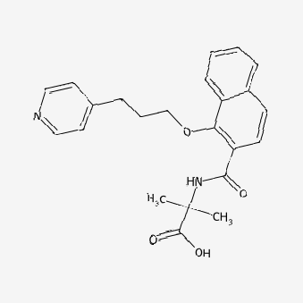 CC(C)(NC(=O)c1ccc2ccccc2c1OCCCc1ccncc1)C(=O)O